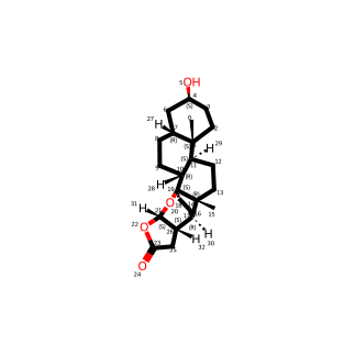 C[C@]12CC[C@H](O)C[C@H]1CC[C@@H]1[C@@H]2CC[C@]2(C)[C@@H]3CC[C@]12O[C@H]1OC(=O)C[C@H]13